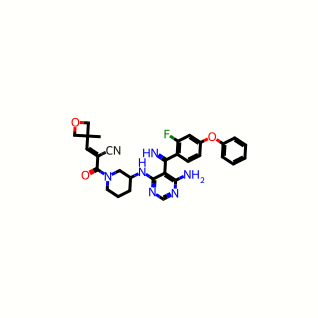 CC1(/C=C(\C#N)C(=O)N2CCCC(Nc3ncnc(N)c3C(=N)c3ccc(Oc4ccccc4)cc3F)C2)COC1